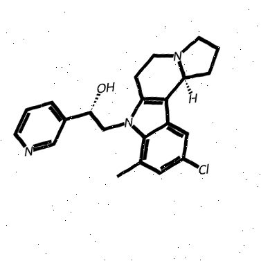 Cc1cc(Cl)cc2c3c(n(C[C@@H](O)c4cccnc4)c12)CCN1CCC[C@@H]31